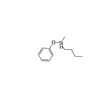 CCCC[SiH](C)Oc1ccccc1